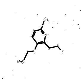 COCOc1ccc(C)nc1CCBr